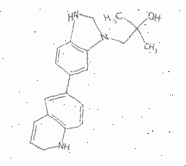 CC(C)(O)CN1CNc2ccc(-c3ccc4c(c3)C=CCN4)cc21